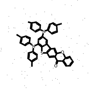 Cc1ccc(N(c2ccc(C)cc2)c2cc(N(c3ccc(C)cc3)c3ccc(C)cc3)c3sc4cc5c(=O)c6ccccc6oc5cc4c3c2)cc1